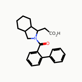 O=C(O)CC1C2CCCCC2CN1C(=O)c1ccccc1-c1ccccc1